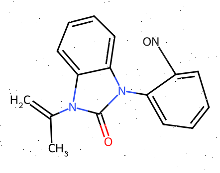 C=C(C)n1c(=O)n(-c2ccccc2N=O)c2ccccc21